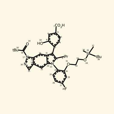 CC(C)c1c(-c2ccc(C(=O)O)cc2O)c2cc3c(cnn3C(=O)C(C)(C)C)cc2n1-c1ccc(F)cc1OCCO[Si](C)(C)C(C)(C)C